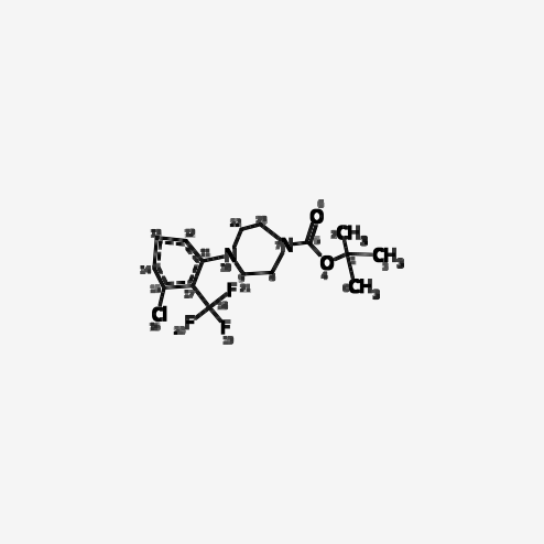 CC(C)(C)OC(=O)N1CCN(c2cccc(Cl)c2C(F)(F)F)CC1